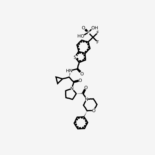 O=C(N[C@H](C(=O)N1CCC[C@H]1C(=O)N1CCO[C@H](c2ccccc2)C1)C1CC1)c1cc2cc(C(F)(F)P(=O)(O)O)ccc2s1